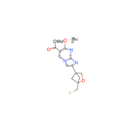 CC[C@@H](C)Oc1nc2nc(C34COC(CF)(C3)C4)cn2cc1C(=O)OC